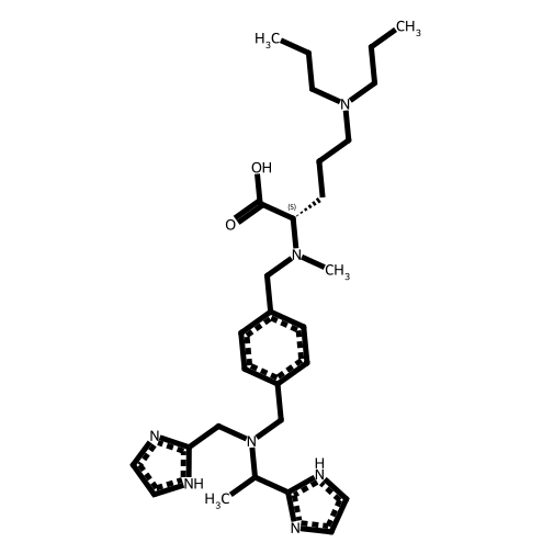 CCCN(CCC)CCC[C@@H](C(=O)O)N(C)Cc1ccc(CN(Cc2ncc[nH]2)C(C)c2ncc[nH]2)cc1